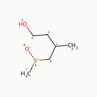 CC(CCO)C[S+](C)[O-]